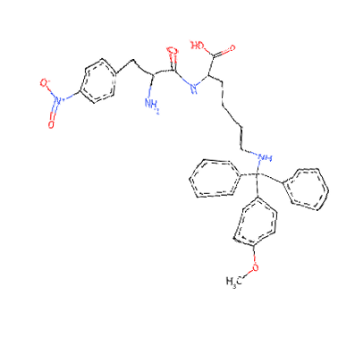 COc1ccc(C(NCCCCC(NC(=O)C(N)Cc2ccc([N+](=O)[O-])cc2)C(=O)O)(c2ccccc2)c2ccccc2)cc1